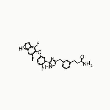 NC(=O)CCc1cccc(Cc2c[nH]c(-c3cc(Oc4c(F)cc5[nH]ccc5c4F)ccc3F)n2)c1